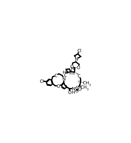 C[C@@H]1[C@@H](C)CCC[C@@H]([C@H]2OC[C@H](N3CC(Cl)C3)CO2)[C@@H]2CC[C@H]2CN2CCCCc3cc(Cl)ccc3COc3ccc(cc32)C(=O)NS1(=O)=O